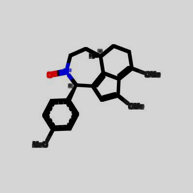 COC1=CC2=C3C1=C(OC)CC[C@@H]3CC[N+](=O)[C@@H]2c1ccc(OC)cc1